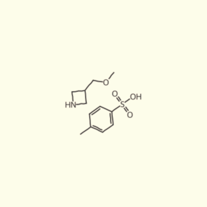 COCC1CNC1.Cc1ccc(S(=O)(=O)O)cc1